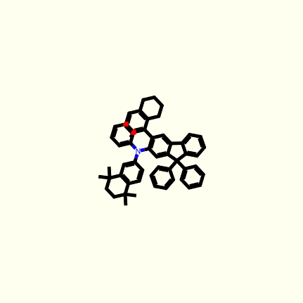 Cc1ccc2c(c1-c1cc3c(cc1N(c1ccccc1)c1ccc4c(c1)C(C)(C)CCC4(C)C)C(c1ccccc1)(c1ccccc1)c1ccccc1-3)CCCC2